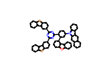 c1ccc2cc3c(cc2c1)c1ccccc1n3-c1ccc(-c2nc(-c3ccc4sc5ccccc5c4c3)nc(-c3ccc4sc5ccccc5c4c3)n2)c(-c2cccc3oc4ccccc4c23)c1